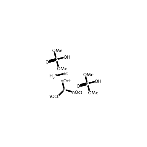 CCCCCCCCP(CCCCCCCC)CCCCCCCC.CCP.COP(=O)(O)OC.COP(=O)(O)OC